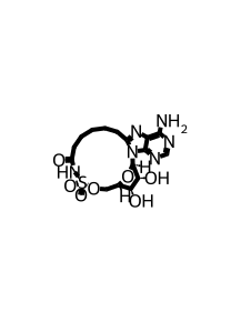 Nc1ncnc2c1nc1n2[C@@H]2O[C@H](COS(=O)(=O)NC(=O)CCCCC1)[C@@H](O)[C@H]2O